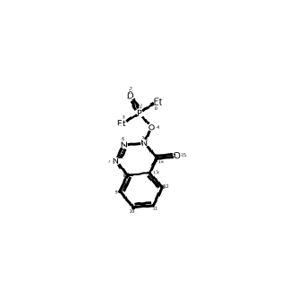 CCP(=O)(CC)On1nnc2ccccc2c1=O